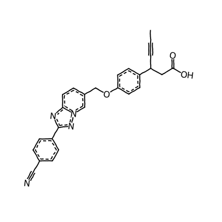 CC#CC(CC(=O)O)c1ccc(OCc2ccc3nc(-c4ccc(C#N)cc4)nn3c2)cc1